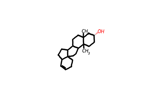 CC12CCC3C4CCC5C=CCCC54CCC3C1(C)CC[C@@H](O)C2